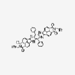 CC(C)CN1C(=O)c2ccc3c4c(ccc(c24)C1=O)-c1nc2c(-c4ccccc4)c4nc5c(nc4c(-c4ccccc4)c2nc1-3)-c1ccc2c3c(ccc-5c13)C(=O)N(CC(C)C)C2=O